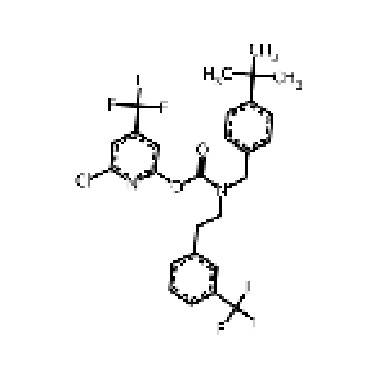 CC(C)(C)c1ccc(CN(CCc2cccc(C(F)(F)F)c2)C(=O)Oc2cc(C(F)(F)F)cc(Cl)n2)cc1